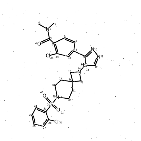 CN(C)C(=O)c1ccc(C2=NN=C[SH]2N2CC3(CCN(S(=O)(=O)c4ccccc4Cl)CC3)C2)cc1Cl